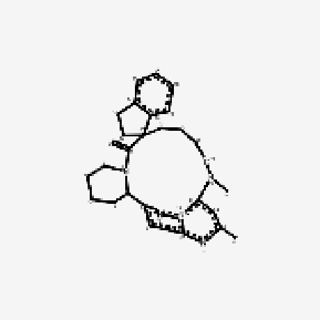 C=C1N2CCCCC2c2cc3nc(C)cc(n3n2)N(C)CCCCC12CCc1ccccc12